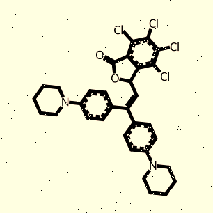 O=C1OC(C=C(c2ccc(N3CCCCC3)cc2)c2ccc(N3CCCCC3)cc2)c2c(Cl)c(Cl)c(Cl)c(Cl)c21